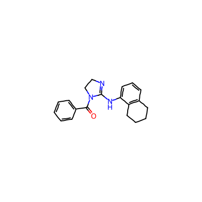 O=C(c1ccccc1)N1CCN=C1Nc1cccc2c1CCCC2